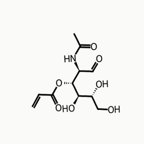 C=CC(=O)O[C@@H]([C@H](O)[C@H](O)CO)[C@H](C=O)NC(C)=O